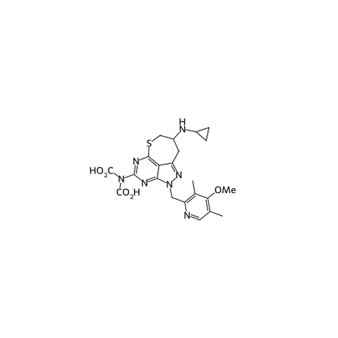 COc1c(C)cnc(Cn2nc3c4c(nc(N(C(=O)O)C(=O)O)nc42)SCC(NC2CC2)C3)c1C